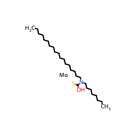 CCCCCCCCCCCCCCCCCCN(CCCCCCCC)C(O)=S.[Mo]